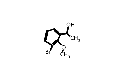 COc1c(Br)cccc1C(C)O